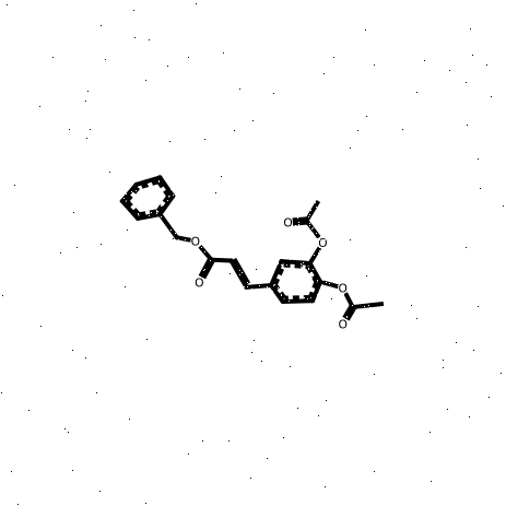 CC(=O)Oc1ccc(/C=C/C(=O)OCc2ccccc2)cc1OC(C)=O